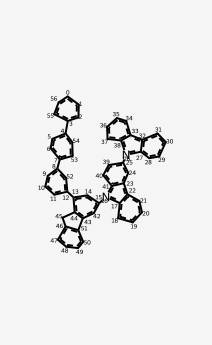 c1ccc(-c2ccc(-c3cccc(-c4cc(-n5c6ccccc6c6cc(-n7c8ccccc8c8ccccc87)ccc65)cc5c4Cc4ccccc4-5)c3)cc2)cc1